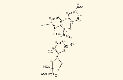 COC(=O)C1(O)CCC(c2cc(F)c(S(=O)(=O)N(Cc3ccc(OC)cc3)c3cccc(F)n3)cc2Cl)C1